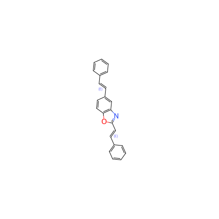 C(=C\c1ccc2oc(/C=C/c3ccccc3)nc2c1)/c1ccccc1